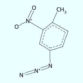 Cc1ccc(N=[N+]=[N-])cc1[N+](=O)[O-]